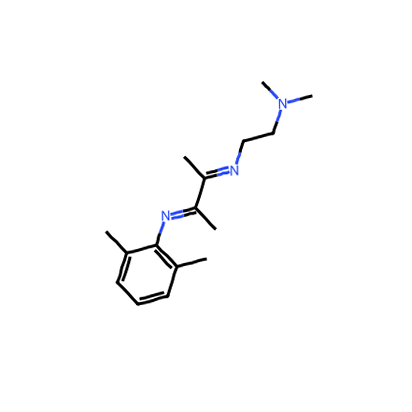 CC(=N\CCN(C)C)/C(C)=N/c1c(C)cccc1C